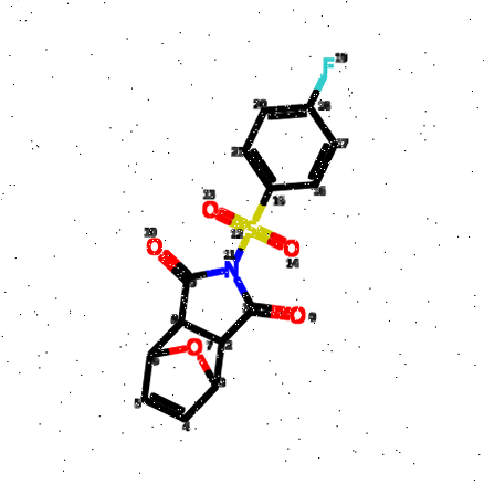 O=C1C2C3C=CC(O3)C2C(=O)N1S(=O)(=O)c1ccc(F)cc1